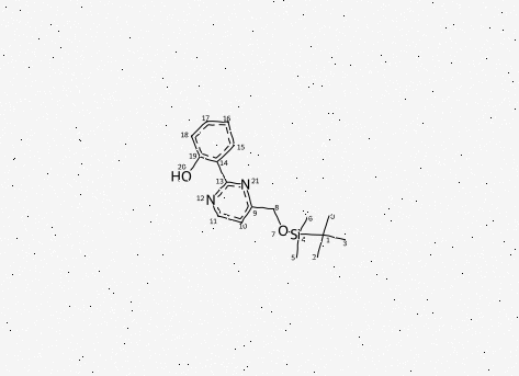 CC(C)(C)[Si](C)(C)OCc1ccnc(-c2ccccc2O)n1